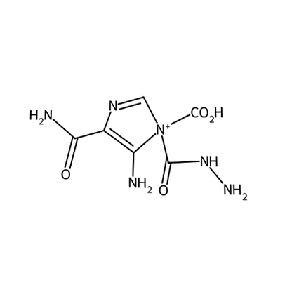 NNC(=O)[N+]1(C(=O)O)C=NC(C(N)=O)=C1N